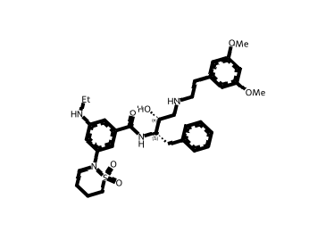 CCNc1cc(C(=O)N[C@@H](Cc2ccccc2)[C@H](O)CNCCc2cc(OC)cc(OC)c2)cc(N2CCCCS2(=O)=O)c1